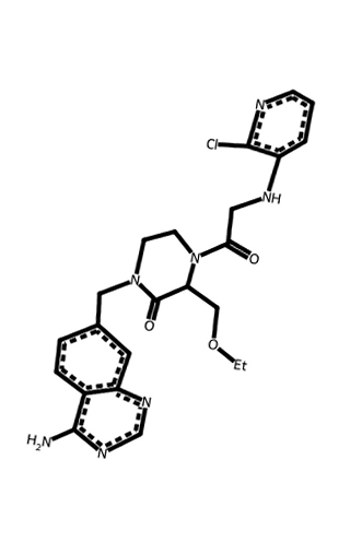 CCOCC1C(=O)N(Cc2ccc3c(N)ncnc3c2)CCN1C(=O)CNc1cccnc1Cl